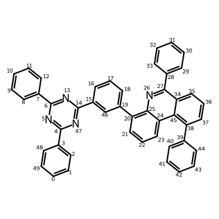 c1ccc(-c2nc(-c3ccccc3)nc(-c3cccc(-c4cccc5c4nc(-c4ccccc4)c4cccc(-c6ccccc6)c45)c3)n2)cc1